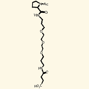 CC(=O)N1CCCC1C(=O)NCCCOCCOCCOCCCNC(=O)CCC(=O)O